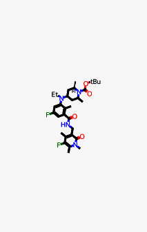 CCN(c1cc(F)cc(C(=O)NCc2c(C)c(F)c(C)n(C)c2=O)c1C)C1CC(C)N(C(=O)OC(C)(C)C)[C@H](C)C1